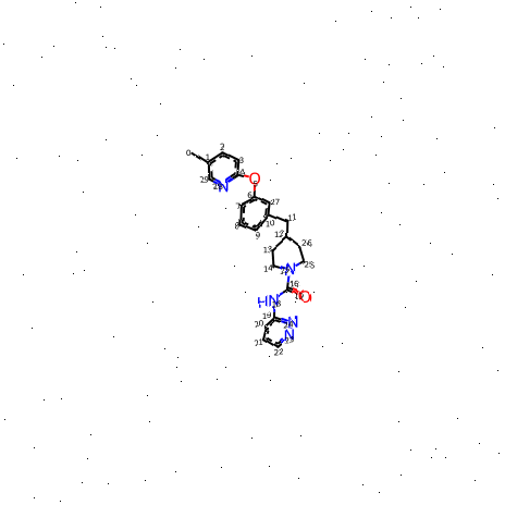 Cc1ccc(Oc2cccc(CC3CCN(C(=O)Nc4cccnn4)CC3)c2)nc1